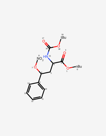 CCCCOC(=O)C(CC(O[N+](=O)[O-])c1ccccc1)NC(=O)OC(C)(C)C